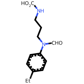 CCc1ccc(N(C=O)CCCNC(=O)O)cc1